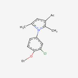 CCOc1ccc(-n2c(C)cc(C(C)=O)c2C)cc1Cl